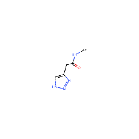 CCNC(=O)Cc1c[nH]nn1